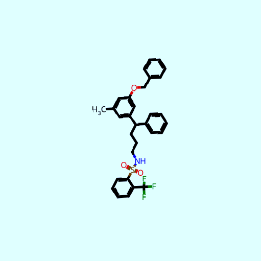 Cc1cc(OCc2ccccc2)cc(C(CCCNS(=O)(=O)c2ccccc2C(F)(F)F)c2ccccc2)c1